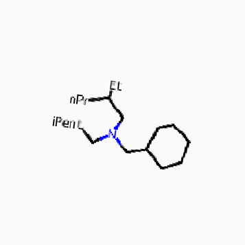 CCCC(C)CN(CC(CC)CCC)CC1CCCCC1